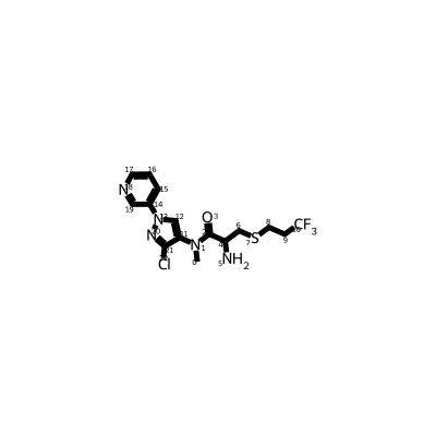 CN(C(=O)C(N)CSCCC(F)(F)F)c1cn(-c2cccnc2)nc1Cl